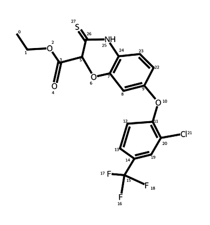 CCOC(=O)C1Oc2cc(Oc3ccc(C(F)(F)F)cc3Cl)ccc2NC1=S